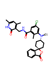 CCN(c1cc(Cl)cc(C(=O)NCc2c(C)cc(C)[nH]c2=O)c1C)[C@H]1CC[C@@]2(CC1)OC(=O)c1ccccc12